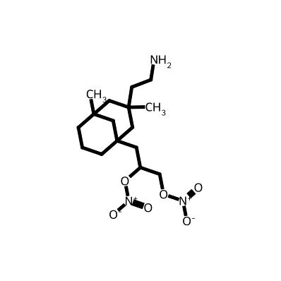 CC1(CCN)CC2(C)CCCC(CC(CO[N+](=O)[O-])O[N+](=O)[O-])(C1)C2